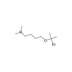 CCC(C)(C)OCCCCN(C)C